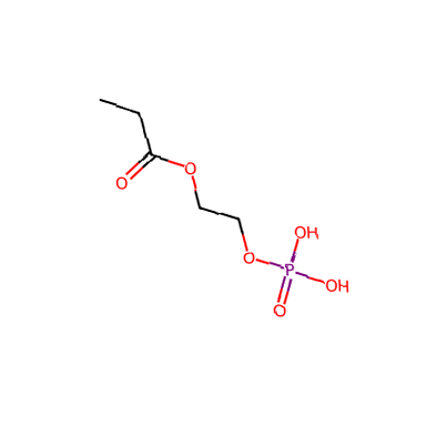 CCC(=O)OCCOP(=O)(O)O